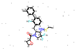 CCSN[C@@H]1[C@H](Cc2cccc(-c3cccc(C)c3)c2F)N(C(=O)C2CCO2)CC1(F)F